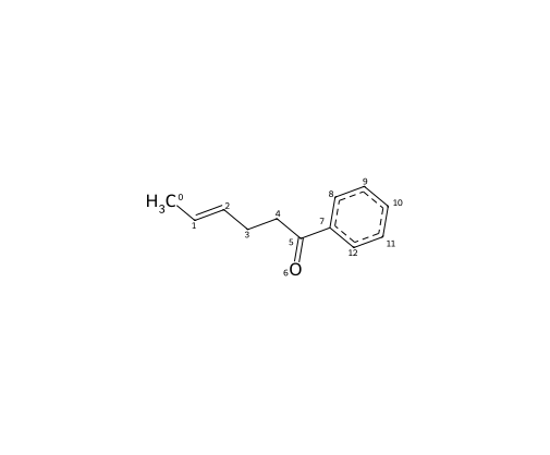 C/C=C/CCC(=O)c1ccccc1